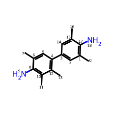 Cc1cc(-c2cc(C)c(N)c(C)c2C)cc(C)c1N